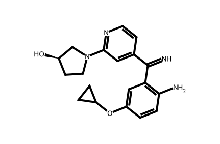 N=C(c1ccnc(N2CC[C@@H](O)C2)c1)c1cc(OC2CC2)ccc1N